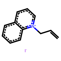 C=CC[n+]1cccc2ccccc21.[I-]